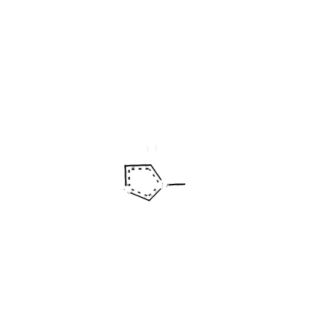 Cl.Cn1ccnc1.[Cl-].[H+]